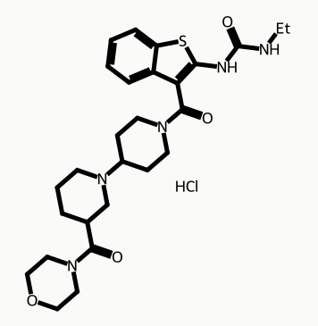 CCNC(=O)Nc1sc2ccccc2c1C(=O)N1CCC(N2CCCC(C(=O)N3CCOCC3)C2)CC1.Cl